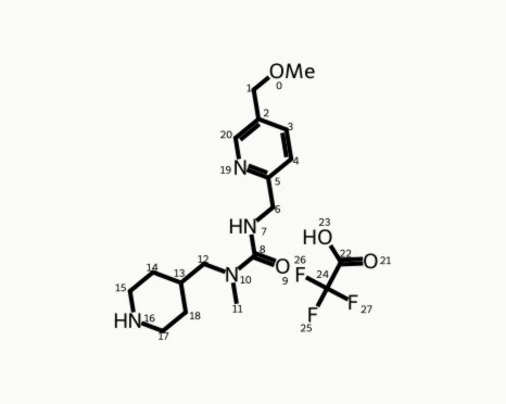 COCc1ccc(CNC(=O)N(C)CC2CCNCC2)nc1.O=C(O)C(F)(F)F